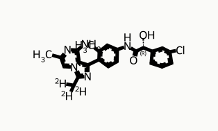 [2H]C([2H])([2H])c1nc(-c2ccc(NC(=O)[C@H](O)c3cccc(Cl)c3)cc2C)c2c(N)nc(C)cn12